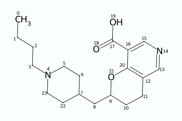 CCCCN1CCC(CC2CCc3cncc(C(=O)O)c3O2)CC1